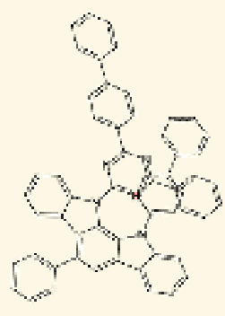 c1ccc(-c2ccc(-c3nc(-c4ccccc4)nc(-n4c5ccccc5c5c(-c6ccccc6)cc6c7ccccc7n(-c7ccc(-c8ccccc8)cc7)c6c54)n3)cc2)cc1